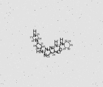 O=C(Nc1nc2nc(Nc3ccc(N4CCNCC4)cc3)ncc2cc1Cl)NC1CCCCC1